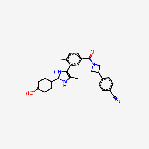 CC1=C(c2cc(C(=O)N3CC(c4ccc(C#N)cc4)C3)ccc2C)NC(C2CCC(O)CC2)N1